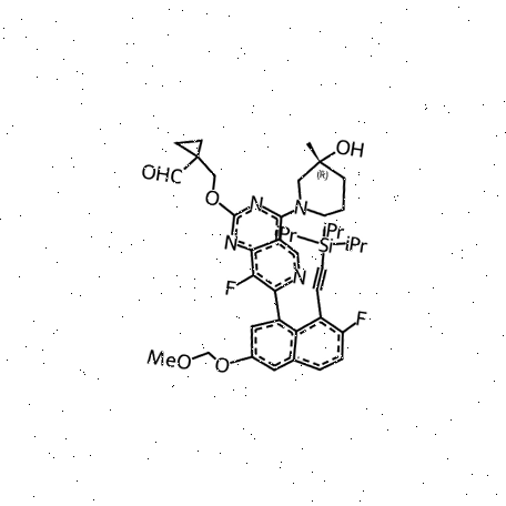 COCOc1cc(-c2ncc3c(N4CCC[C@@](C)(O)C4)nc(OCC4(C=O)CC4)nc3c2F)c2c(C#C[Si](C(C)C)(C(C)C)C(C)C)c(F)ccc2c1